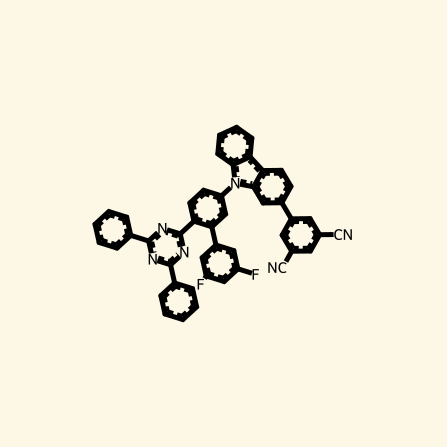 N#Cc1cc(C#N)cc(-c2ccc3c4ccccc4n(-c4ccc(-c5nc(-c6ccccc6)nc(-c6ccccc6)n5)c(-c5cc(F)cc(F)c5)c4)c3c2)c1